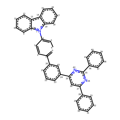 C=C(/C=C\C(=C/C)n1c2ccccc2c2ccccc21)c1cccc(-c2cc(-c3ccccc3)nc(-c3ccccc3)n2)c1